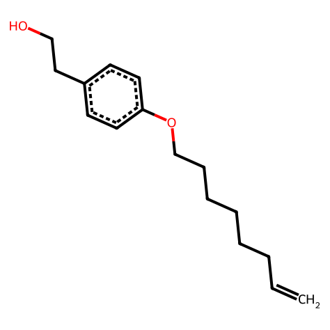 C=CCCCCCCOc1ccc(CCO)cc1